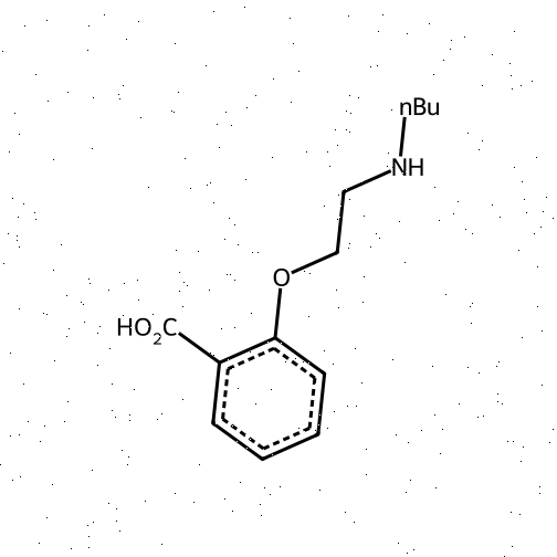 CCCCNCCOc1ccccc1C(=O)O